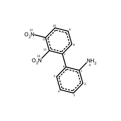 Nc1ccccc1-c1cccc([N+](=O)[O-])c1[N+](=O)[O-]